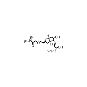 CCCCC[C@H](O)C=C[C@@H]1[C@H]2CC(=CCOCC(=O)N(C(C)C)C(C)C)C[C@H]2C[C@H]1O